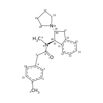 Cc1ccc(CC(=O)N(C)[C@@H]2c3ccccc3C[C@H]2N2CCCC2)cc1